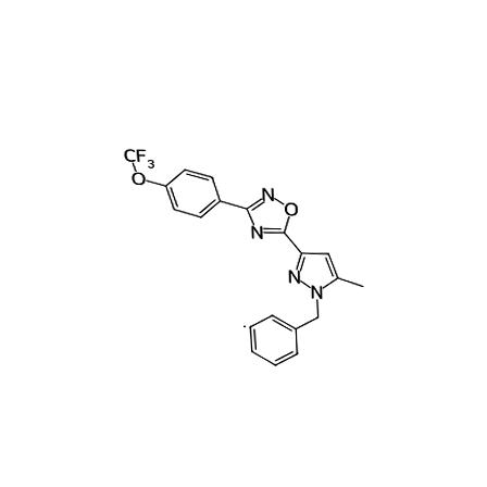 Cc1cc(-c2nc(-c3ccc(OC(F)(F)F)cc3)no2)nn1Cc1c[c]ccc1